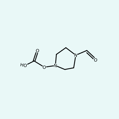 O=CN1CCN(OC(=O)O)CC1